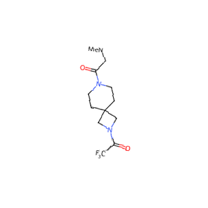 CNCC(=O)N1CCC2(CC1)CN(C(=O)C(F)(F)F)C2